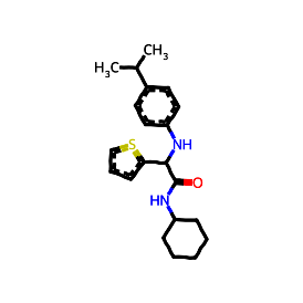 CC(C)c1ccc(NC(C(=O)NC2CCCCC2)c2cccs2)cc1